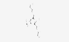 CCOCC.CCOS(=O)(=O)O.OCCOCCOCCOCCO